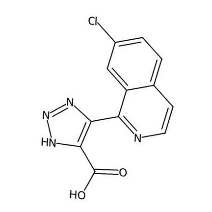 O=C(O)c1[nH]nnc1-c1nccc2ccc(Cl)cc12